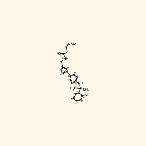 CNCCC(=O)NCc1cnn(-c2cnc(NC(C)(C)c3ncccc3Cl)nc2)c1